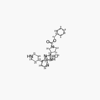 Cl.O=C(OCc1ccccc1)N1CC[C@@H](c2nc3c(C4CCNCC4)ccnc3[nH]2)C1